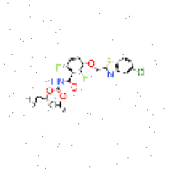 CC(C)OC(=O)NC(=O)c1c(F)ccc(OCc2nc3cc(Cl)ccc3s2)c1F